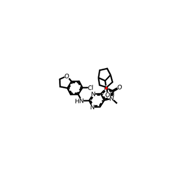 Cn1c(=O)n(C2C3CCC2CC(O)C3)c2nc(Nc3cc4c(cc3Cl)OCC4)ncc21